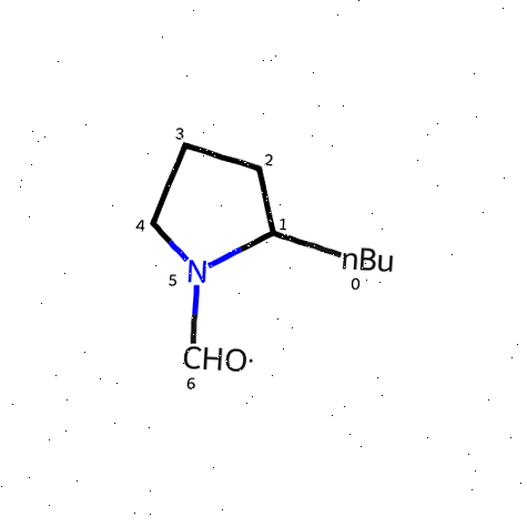 CCCCC1CCCN1[C]=O